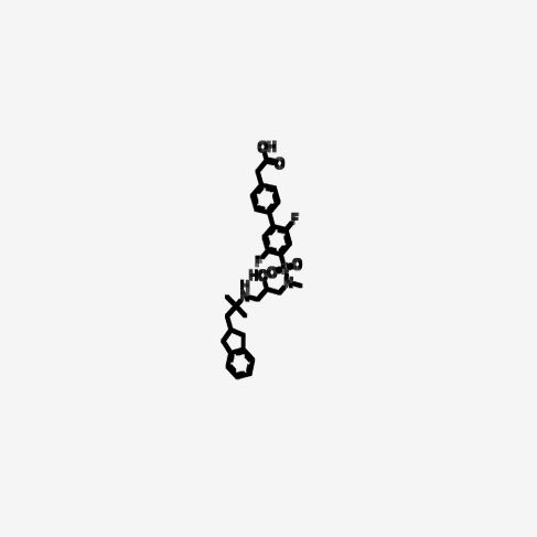 CN(CC(O)CNC(C)(C)CC1Cc2ccccc2C1)S(=O)(=O)c1cc(F)c(-c2ccc(CC(=O)O)cc2)cc1F